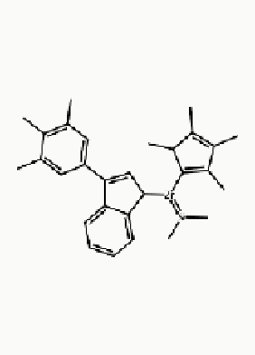 CC1=C(C)C(C)[C]([Zr]([CH]2C=C(c3cc(C)c(C)c(C)c3)c3ccccc32)=[Si](C)C)=C1C